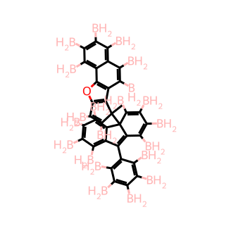 BC1=C(B)C2=C(c3c(B)c(B)c(B)c(B)c3B)c3c(B)c(B)c(B)c(B)c3C2(C2(C)C(B)=C(B)c3oc4c(c(B)c(B)c5c(B)c(B)c(B)c(B)c54)c32)C(B)=C1B